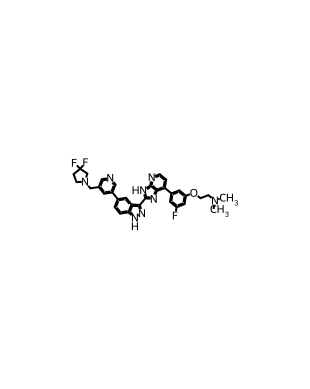 CN(C)CCOc1cc(F)cc(-c2ccnc3[nH]c(-c4n[nH]c5ccc(-c6cncc(CN7CCC(F)(F)C7)c6)cc45)nc23)c1